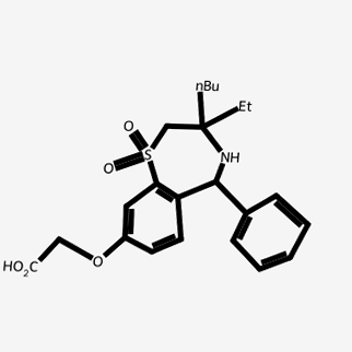 CCCCC1(CC)CS(=O)(=O)c2cc(OCC(=O)O)ccc2C(c2ccccc2)N1